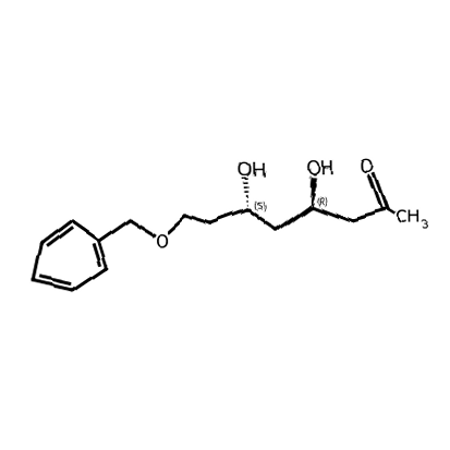 CC(=O)C[C@H](O)C[C@@H](O)CCOCc1ccccc1